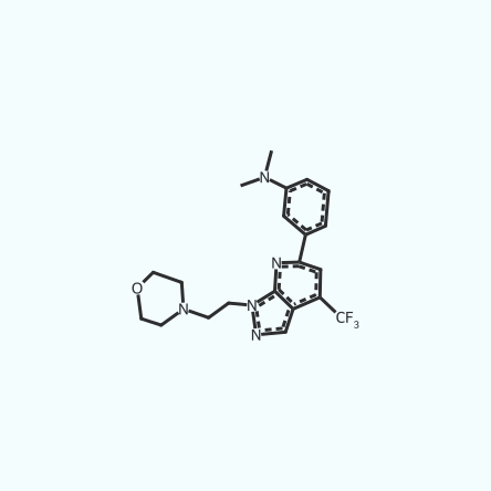 CN(C)c1cccc(-c2cc(C(F)(F)F)c3cnn(CCN4CCOCC4)c3n2)c1